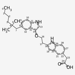 CCCCC(C)(C)Cc1ccc2[nH]cc(OCCc3cc4cc(CC(=O)O)ccc4[nH]3)c2c1